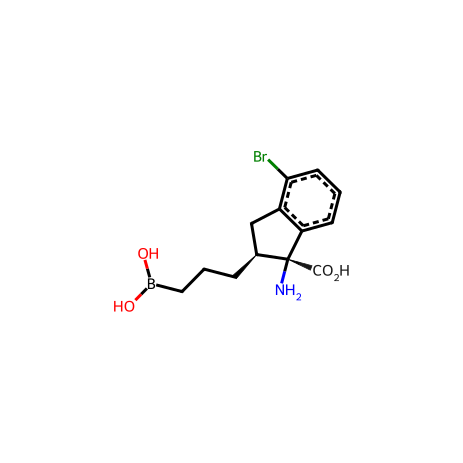 N[C@@]1(C(=O)O)c2cccc(Br)c2C[C@@H]1CCCB(O)O